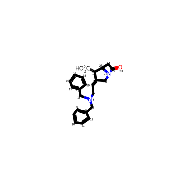 O=C(O)C1C(=CCN(Cc2ccccc2)Cc2ccccc2)CN2C(=O)CC12